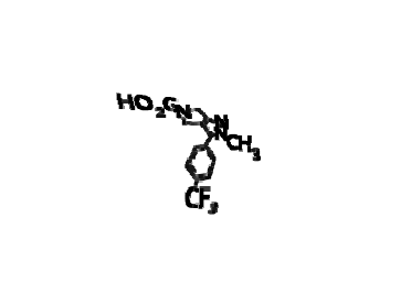 Cn1nc2c(c1-c1ccc(C(F)(F)F)cc1)CN(C(=O)O)C2